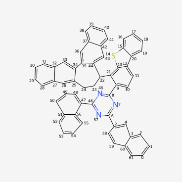 c1ccc2cc(-c3nc(-c4ccc5c(sc6ccccc65)c4C4CCc5cc6ccccc6cc5-c5cc6ccccc6cc54)nc(-c4cccc5ccccc45)n3)ccc2c1